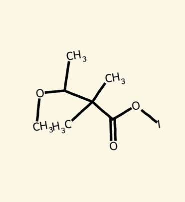 COC(C)C(C)(C)C(=O)OI